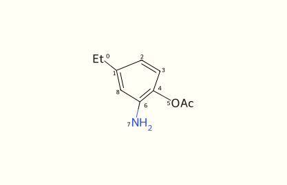 CCc1ccc(OC(C)=O)c(N)c1